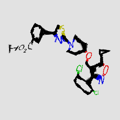 O=C(O)c1cccc(-c2csc(N3CCC(OCc4c(-c5c(Cl)cccc5Cl)noc4C4CC4)CC3)n2)c1